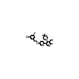 CCc1c(C)ncc(-c2ccc(OCCc3cc(F)cc(Cl)c3)cn2)c1N1CCC(C)(C)CC1